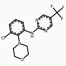 FC(F)(F)c1cnc(Nc2cccc(Cl)c2N2CCOCC2)nc1